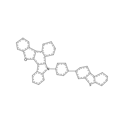 c1ccc2c(c1)oc1c2c2ccccc2c2c1c1ccccc1n2-c1ccc(-c2ccc3c(c2)sc2ccccc23)cc1